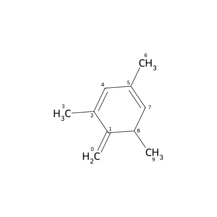 C=C1C(C)=CC(C)=CC1C